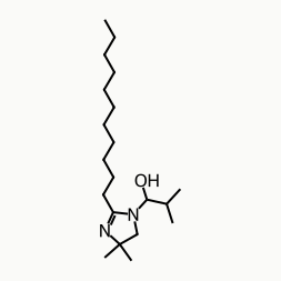 CCCCCCCCCCCC1=NC(C)(C)CN1C(O)C(C)C